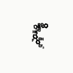 O=C(NCc1ccc(F)c(-c2ccc(C(F)(F)F)cc2O)c1)[C@@H]1CCCN1S(=O)(=O)c1cc2ccccc2o1